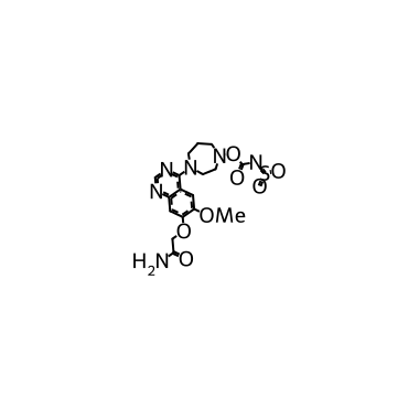 COc1cc2c(N3CCCN(OC(=O)N=S(=O)=O)CC3)ncnc2cc1OCC(N)=O